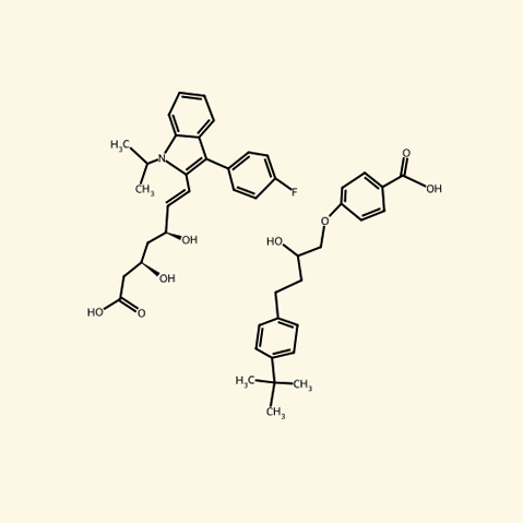 CC(C)(C)c1ccc(CCC(O)COc2ccc(C(=O)O)cc2)cc1.CC(C)n1c(/C=C/[C@@H](O)C[C@@H](O)CC(=O)O)c(-c2ccc(F)cc2)c2ccccc21